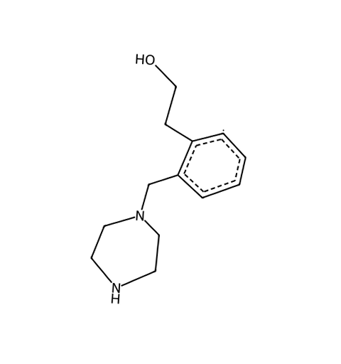 OCCc1[c]cccc1CN1CCNCC1